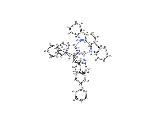 c1ccc(-c2ccc(-c3cc(-c4ccccc4)nc(-n4c5ccccc5c5ccc6c7ccccc7n(-c7cc(-c8ccccc8)cc(-c8ccccc8)c7)c6c54)n3)cc2)cc1